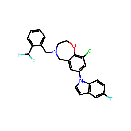 Fc1ccc2c(ccn2-c2cc(Cl)c3c(c2)CN(Cc2ccccc2C(F)F)CCO3)c1